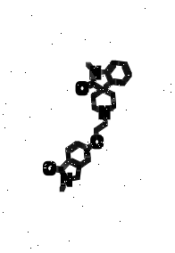 CN1Cc2cc(OCCN3CCC4(CC3)C(=O)N(C)c3ccccc34)ccc2C1=O